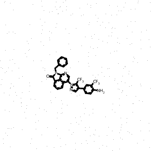 Nc1ccc(-c2cnn(-c3cnc4c5c(cccc35)C(=O)P4Cc3ccccc3)c2C(F)(F)F)cc1C(F)(F)F